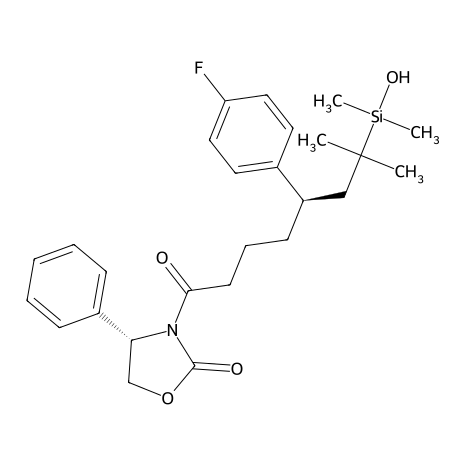 CC(C)(C[C@@H](CCCC(=O)N1C(=O)OC[C@@H]1c1ccccc1)c1ccc(F)cc1)[Si](C)(C)O